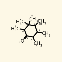 CC1C(=O)C(C)C(C)(C)C(C)C1C